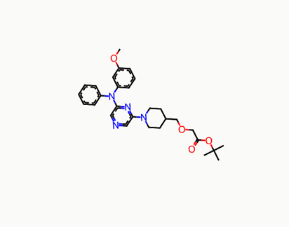 COc1cccc(N(c2ccccc2)c2cncc(N3CCC(COCC(=O)OC(C)(C)C)CC3)n2)c1